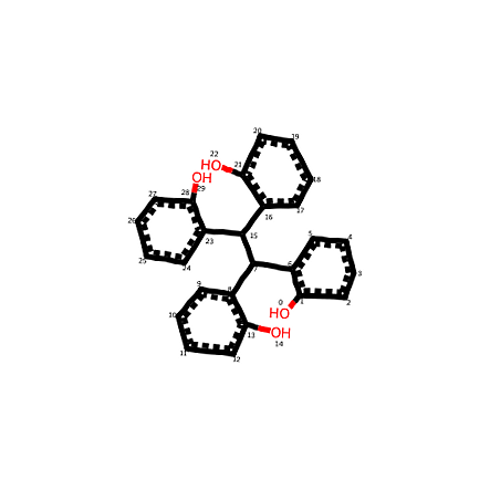 Oc1ccccc1C(c1ccccc1O)C(c1ccccc1O)c1ccccc1O